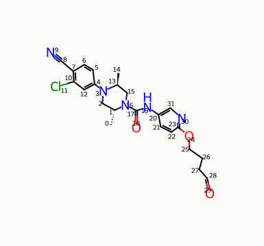 C[C@@H]1CN(c2ccc(C#N)c(Cl)c2)[C@@H](C)CN1C(=O)Nc1ccc(OCCCC=O)nc1